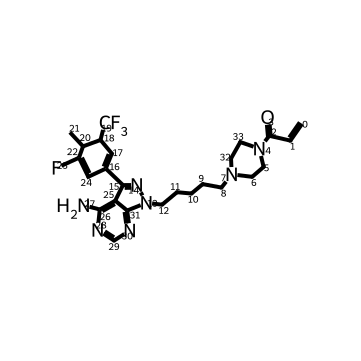 C=CC(=O)N1CCN(CCCCCn2nc(C3=CC(C(F)(F)F)C(C)C(F)=C3)c3c(N)ncnc32)CC1